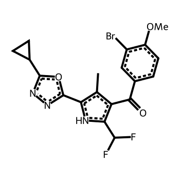 COc1ccc(C(=O)c2c(C(F)F)[nH]c(-c3nnc(C4CC4)o3)c2C)cc1Br